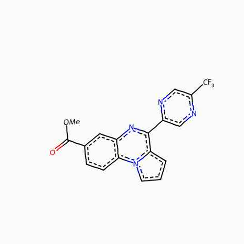 COC(=O)c1ccc2c(c1)nc(-c1cnc(C(F)(F)F)cn1)c1cccn12